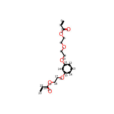 C=CC(=O)OCCOCCOc1cccc(OCCOC(=O)C=C)c1